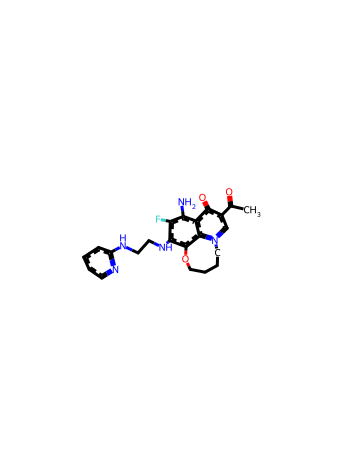 CC(=O)c1cn2c3c(c(NCCNc4ccccn4)c(F)c(N)c3c1=O)OCCCC2